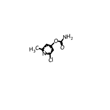 Cc1cc(OC(N)=O)cc(Cl)n1